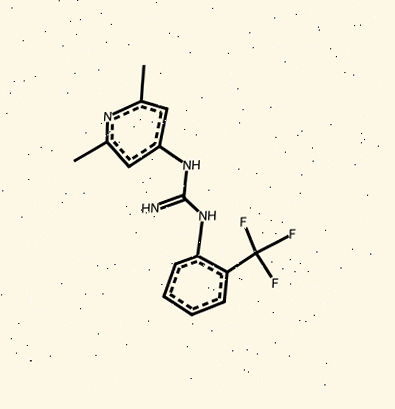 Cc1cc(NC(=N)Nc2ccccc2C(F)(F)F)cc(C)n1